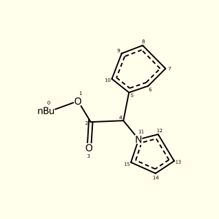 CCCCOC(=O)C(c1ccccc1)n1cccc1